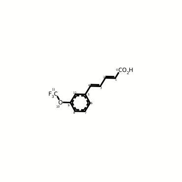 O=C(O)C=CC=Cc1cccc(OC(F)(F)F)c1